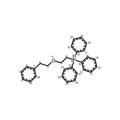 c1ccc(CCOCC[PH](c2ccccc2)(c2ccccc2)c2ccccc2)cc1